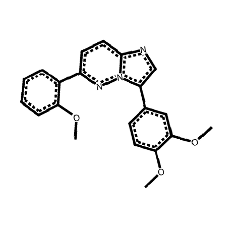 COc1ccc(-c2cnc3ccc(-c4ccccc4OC)nn23)cc1OC